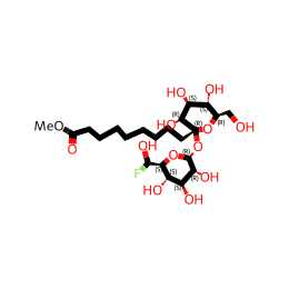 COC(=O)CCCCCCCC[C@]1(O[C@H]2O[C@H](C(O)F)[C@@H](O)[C@H](O)[C@H]2O)O[C@H](CO)[C@@H](O)[C@H](O)[C@H]1O